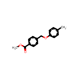 [CH2]c1ccc(OCc2ccc(C(=O)OC)cc2)cc1